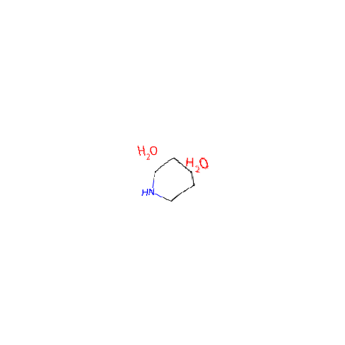 C1CCNCC1.O.O